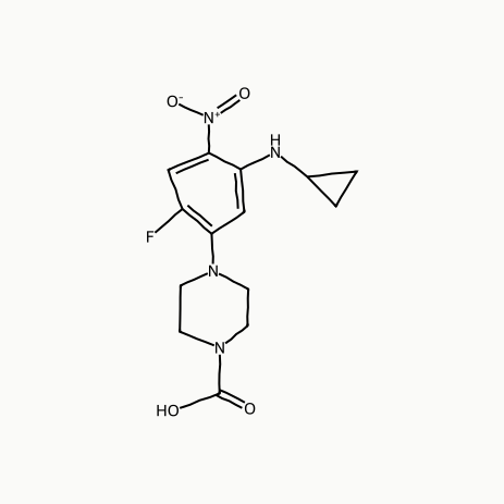 O=C(O)N1CCN(c2cc(NC3CC3)c([N+](=O)[O-])cc2F)CC1